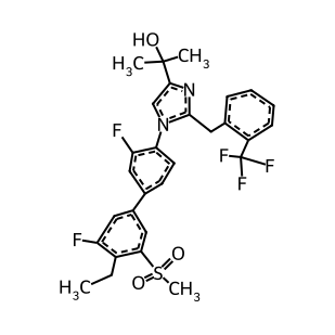 CCc1c(F)cc(-c2ccc(-n3cc(C(C)(C)O)nc3Cc3ccccc3C(F)(F)F)c(F)c2)cc1S(C)(=O)=O